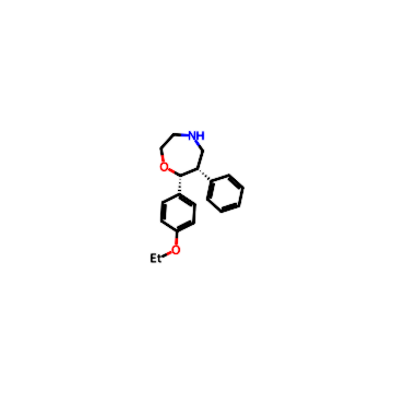 CCOc1ccc([C@@H]2OCCNC[C@@H]2c2ccccc2)cc1